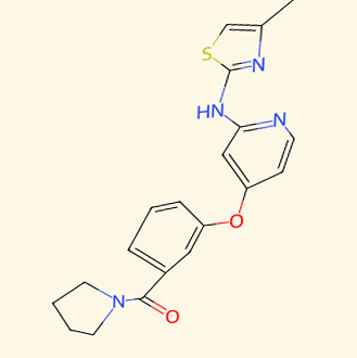 Cc1csc(Nc2cc(Oc3cccc(C(=O)N4CCCC4)c3)ccn2)n1